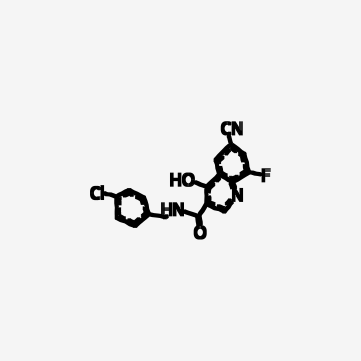 N#Cc1cc(F)c2ncc(C(=O)NCc3ccc(Cl)cc3)c(O)c2c1